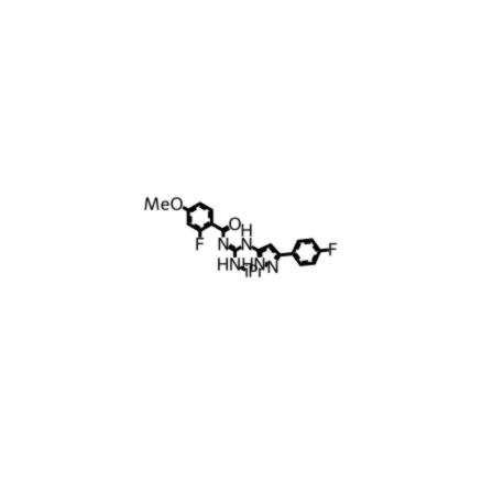 COc1ccc(C(=O)/N=C(\Nc2cc(-c3ccc(F)cc3)n[nH]2)NC(C)C)c(F)c1